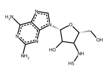 Nc1nc(N)c2ncn([C@@H]3O[C@H](CO)C(NS)C3O)c2n1